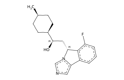 C[C@H]1CC[C@@H]([C@H](O)C[C@@H]2c3c(F)cccc3-c3cncn32)CC1